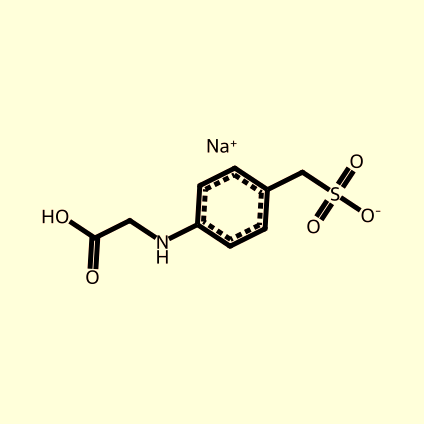 O=C(O)CNc1ccc(CS(=O)(=O)[O-])cc1.[Na+]